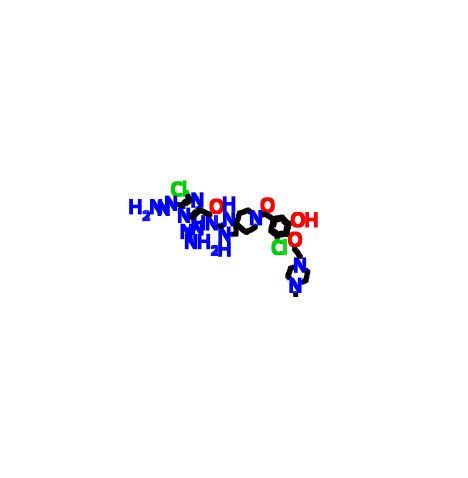 CN1CCN(CCOc2c(O)cc(C(=O)N3CCC4(CC3)CNC(NC(=O)c3nc(Cl)c(N=NN)nc3N=NN)N4)cc2Cl)CC1